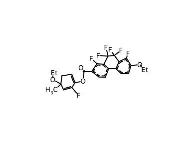 CCOc1ccc2c(c1F)C(F)(F)C(F)(F)c1c-2ccc(C(=O)OC2=CCC(C)(OCC)C=C2F)c1F